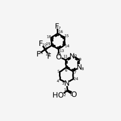 O=C(O)N1CCc2c(ncnc2Oc2ccc(F)cc2C(F)(F)F)C1